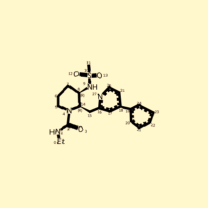 CCNC(=O)N1CCC[C@@H](NS(C)(=O)=O)[C@H]1Cc1cc(-c2ccccc2)ccn1